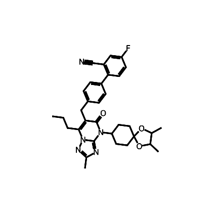 CCCc1c(Cc2ccc(-c3ccc(F)cc3C#N)cc2)c(=O)n(C2CCC3(CC2)OC(C)C(C)O3)c2nc(C)nn12